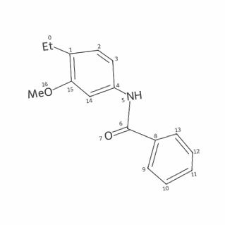 CCc1ccc(NC(=O)c2ccccc2)cc1OC